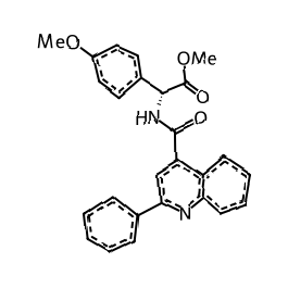 COC(=O)[C@H](NC(=O)c1cc(-c2ccccc2)nc2ccccc12)c1ccc(OC)cc1